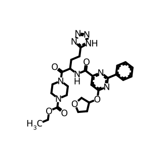 CCOC(=O)N1CCN(C(=O)C(CCc2nnn[nH]2)NC(=O)c2cc(OC3CCOC3)nc(-c3ccccc3)n2)CC1